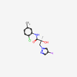 C[C@](O)(Cn1cc(I)cn1)C(=O)Nc1cc(C(F)(F)F)ccc1Cl